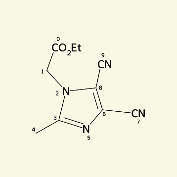 CCOC(=O)Cn1c(C)nc(C#N)c1C#N